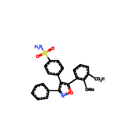 COc1c(C(=O)O)cccc1-c1onc(-c2ccccc2)c1-c1ccc(S(N)(=O)=O)cc1